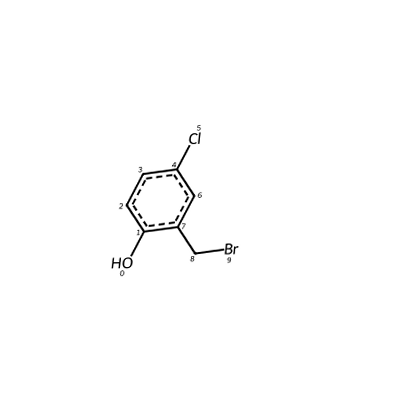 Oc1ccc(Cl)cc1CBr